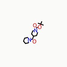 CC(C)(C)OC(=O)N1CCC(C(=O)N2CCCCC2)CC1